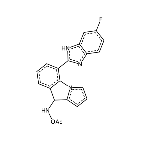 CC(=O)ONC1c2cccc(-c3nc4ccc(F)cc4[nH]3)c2-n2cccc21